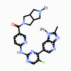 CCN1CC2CN(C(=O)c3ccc(Nc4ncc(F)c(-c5cnc6nc(C)n(C(C)C)c6c5)n4)nc3)CC2C1